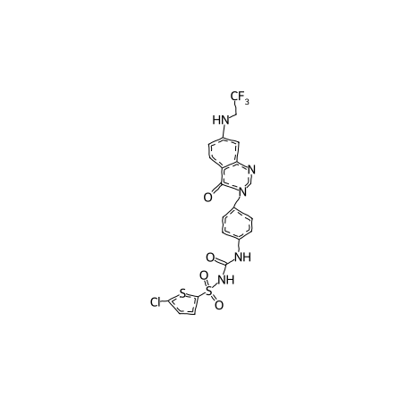 O=C(Nc1ccc(-n2cnc3cc(NCC(F)(F)F)ccc3c2=O)cc1)NS(=O)(=O)c1ccc(Cl)s1